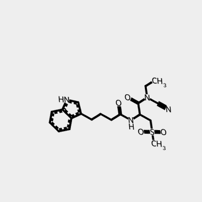 CCN(C#N)C(=O)C(CS(C)(=O)=O)NC(=O)CCCc1c[nH]c2ccccc12